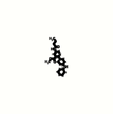 CCCC(=O)Nc1cnc(N2CCC(NC3CCCCC3)CC2)c(C(=O)OC)c1